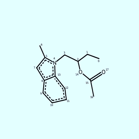 CCC(Cn1c(C)cc2ccccc21)OC(C)=O